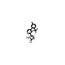 Cc1ccc(C(F)(F)F)c(-c2ccnc(-c3noc(=O)[nH]3)c2)c1